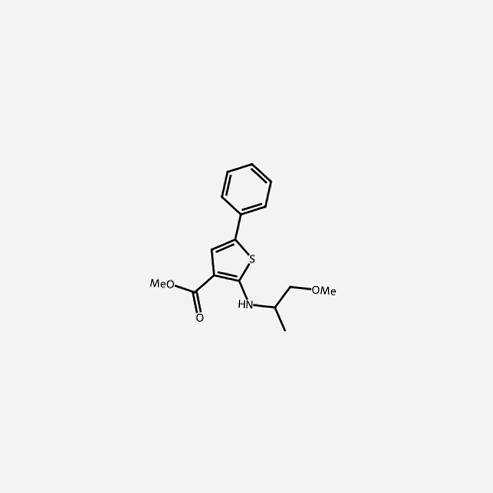 COCC(C)Nc1sc(-c2ccccc2)cc1C(=O)OC